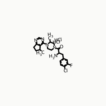 CC1CCc2ncnc(N3CCN(C(=O)C(N)Cc4ccc(Cl)c(F)c4)CC3C)c21.Cl.Cl